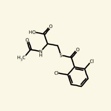 CC(=O)NC(CSC(=O)c1c(Cl)cccc1Cl)C(=O)O